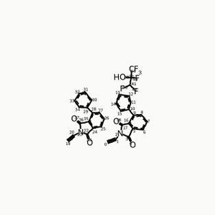 C#CN1C(=O)c2cccc(-c3ccccc3)c2C1=O.C#CN1C(=O)c2cccc(-c3ccccc3)c2C1=O.OC(F)(C(F)F)C(F)(F)F